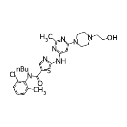 CCCCN(C(=O)c1cnc(Nc2cc(N3CCN(CCO)CC3)nc(C)n2)s1)c1c(C)cccc1Cl